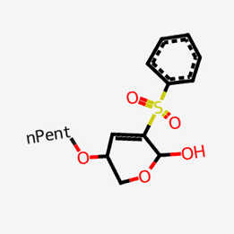 CCCCCOC1C=C(S(=O)(=O)c2ccccc2)C(O)OC1